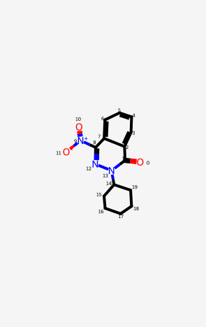 O=c1c2ccccc2c([N+](=O)[O-])nn1C1CCCCC1